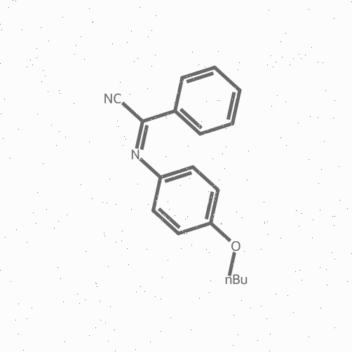 CCCCOc1ccc(N=C(C#N)c2ccccc2)cc1